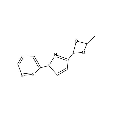 CC1OC(c2ccn(-c3cccnn3)n2)O1